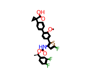 COc1cc(-c2sc(F)cc2NC(=O)O[C@H](C)c2ccc(F)c(F)c2)ccc1-c1ccc(C2(C(=O)O)CC2)cc1